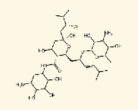 CC(C)/C=C/[C@@H](C[C@@H]1O[C@](O)(C[C@@H](O)C(C)C)C[C@H](O)[C@H]1C(=O)NC1CC(N)C(O)C(O)C1O)OC1OC(C)C(O)C(N)C1O